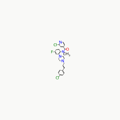 CN(C(=O)c1ccnc(Cl)c1)c1ccc(F)cc1N1CCN(CC=Cc2ccc(Cl)cc2)CC1